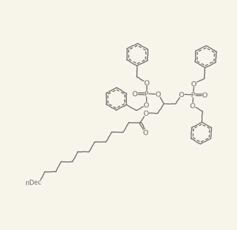 CCCCCCCCCCCCCCCCCCCCCC(=O)OCC(COP(=O)(OCc1ccccc1)OCc1ccccc1)OP(=O)(OCc1ccccc1)OCc1ccccc1